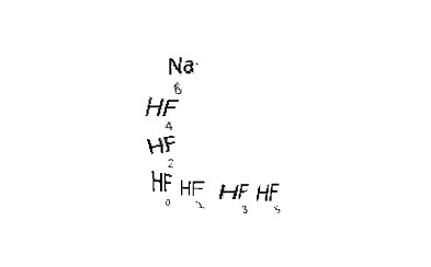 F.F.F.F.F.F.[Na]